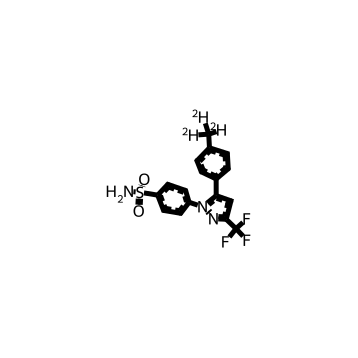 [2H]C([2H])([2H])c1ccc(-c2cc(C(F)(F)F)nn2-c2ccc(S(N)(=O)=O)cc2)cc1